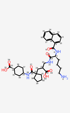 NCCCC[C@H](NC(=O)c1cccc2ccccc12)C(=O)NCC(CC1(C(=O)N[C@H]2CC[C@@H](C(=O)O)CC2)CCCC1)C(=O)O